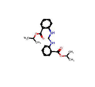 CC(C)OC(=O)c1ccccc1NCNc1ccccc1C(=O)OC(C)C